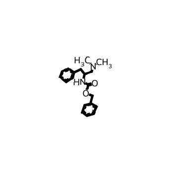 CN(C)CC(Cc1ccccc1)NC(=O)OCc1ccccc1